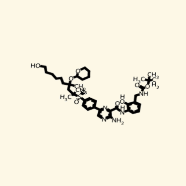 CC(C)(C)OC(=O)NCc1cccc(NC(=O)c2nc(-c3ccc(S(=O)(=O)C(C)(C)CC(C)(CCCCCCO)OC4CCCCO4)cc3)cnc2N)c1O